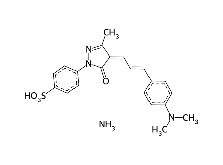 CC1=NN(c2ccc(S(=O)(=O)O)cc2)C(=O)C1=CC=Cc1ccc(N(C)C)cc1.N